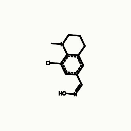 CN1CCCc2cc(/C=N\O)cc(Cl)c21